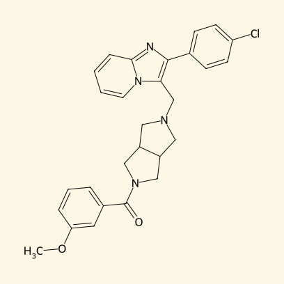 COc1cccc(C(=O)N2CC3CN(Cc4c(-c5ccc(Cl)cc5)nc5ccccn45)CC3C2)c1